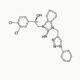 N=c1n(Cc2cn(-c3ccccc3)nn2)c2ccccc2n1C[C@H](O)c1ccc(Cl)c(Cl)c1